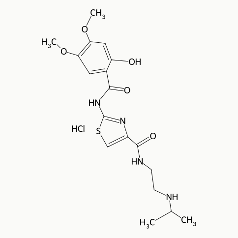 COc1cc(O)c(C(=O)Nc2nc(C(=O)NCCNC(C)C)cs2)cc1OC.Cl